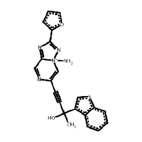 CC(O)(C#CC1=C[N+]2(N)N=C(c3ccco3)N=C2C=N1)c1csc2ccccc12